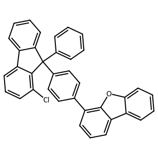 Clc1cccc2c1C(c1ccccc1)(c1ccc(-c3cccc4c3oc3ccccc34)cc1)c1ccccc1-2